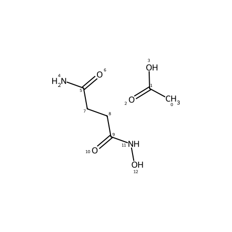 CC(=O)O.NC(=O)CCC(=O)NO